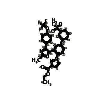 CCOC(=O)c1ccn(-c2ccc(-c3cccc(S(C)(=O)=O)c3)cc2-c2oc(C)nc2-c2ccc(OC(F)(F)F)cc2)n1